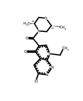 CCn1cc(C(=O)N2C[C@@H](C)OC[C@H]2C)c(=O)c2cc(Cl)nnc21